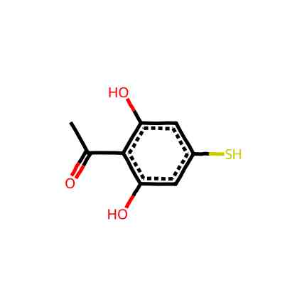 CC(=O)c1c(O)cc(S)cc1O